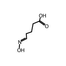 O=C(O)CCCC=NO